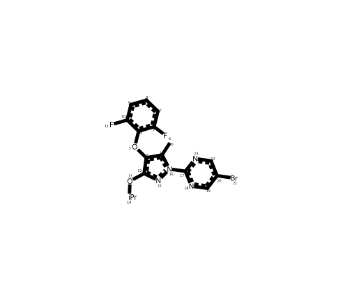 Cc1c(Oc2c(F)cccc2F)c(OC(C)C)nn1-c1ncc(Br)cn1